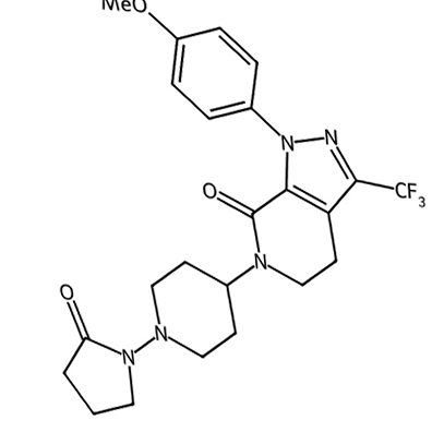 COc1ccc(-n2nc(C(F)(F)F)c3c2C(=O)N(C2CCN(N4CCCC4=O)CC2)CC3)cc1